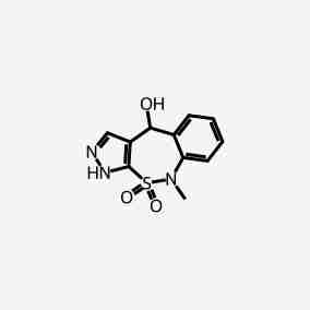 CN1c2ccccc2C(O)c2cn[nH]c2S1(=O)=O